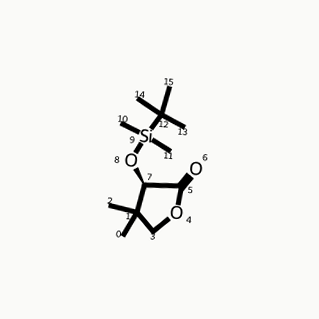 CC1(C)COC(=O)[C@@H]1O[Si](C)(C)C(C)(C)C